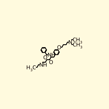 CCCNCCCC(=O)C(Cc1ccc(OCCCCN(CC)CC)cc1)NC(=O)c1ccccc1